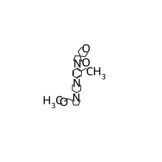 CCc1cc(N2CCC(N3CCCC3COC)CC2)ccc1N1CCC2(CCOCC2)C1=O